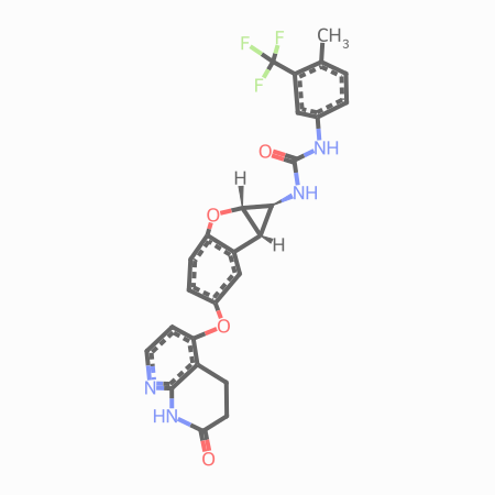 Cc1ccc(NC(=O)N[C@@H]2[C@H]3Oc4ccc(Oc5ccnc6c5CCC(=O)N6)cc4[C@@H]23)cc1C(F)(F)F